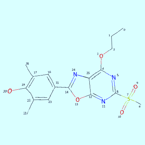 CCCOc1nc(S(C)(=O)=O)nc2oc(-c3cc(C)c([O])c(C)c3)nc12